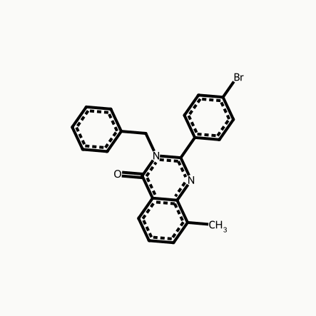 Cc1cccc2c(=O)n(Cc3ccccc3)c(-c3ccc(Br)cc3)nc12